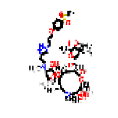 CC[C@H]1OC(=O)[C@H](C)[C@@H](OC[C@H]2C[C@@](C)(OC)[C@@H](O)[C@H](C)O2)[C@H](C)[C@@H](O[C@@H]2O[C@H](C)C[C@H](N(C)CCc3cn(CCCOc4ccc(S(=O)(=O)C(C)C)cc4)nn3)[C@H]2O)[C@](C)(O)C[C@@H](C)CN(C)[C@H](C)[C@@H](O)[C@]1(C)O